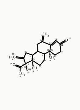 C=C1CC2C(CC[C@@]3(C)C2CC(=C)[C@@]3(O)C(C)=O)[C@@]2(C)CCC(=O)C=C12